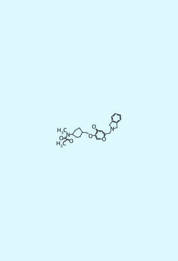 CN(C1CCC(COc2coc(CN3Cc4ccccc4C3)cc2=O)CC1)S(C)(=O)=O